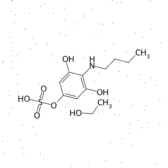 CCCCNc1c(O)cc(OS(=O)(=O)O)cc1O.CCO